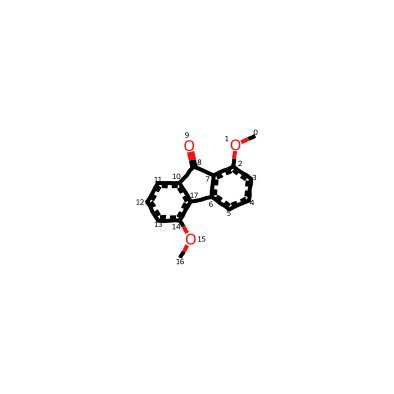 COc1cccc2c1C(=O)c1cccc(OC)c1-2